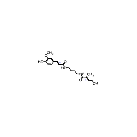 COc1cc(/C=C/C(=O)NCCCCNC(=O)/C(C)=C/CO)ccc1O